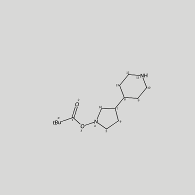 CC(C)(C)C(=O)ON1CCC(C2CCNCC2)C1